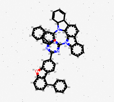 C1=CC2c3ccc4c5ccccc5n(-c5nc(-c6ccccc6)nc(-c6ccc7c(c6)oc6cccc(-c8ccccc8)c67)n5)c4c3N(c3ccccc3)C2C=C1